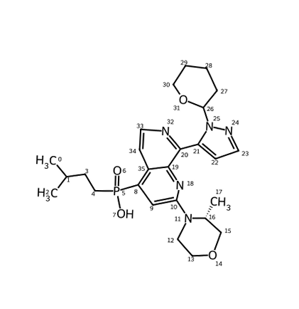 CC(C)CCP(=O)(O)c1cc(N2CCOC[C@H]2C)nc2c(-c3ccnn3C3CCCCO3)nccc12